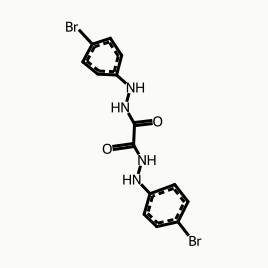 O=C(NNc1ccc(Br)cc1)C(=O)NNc1ccc(Br)cc1